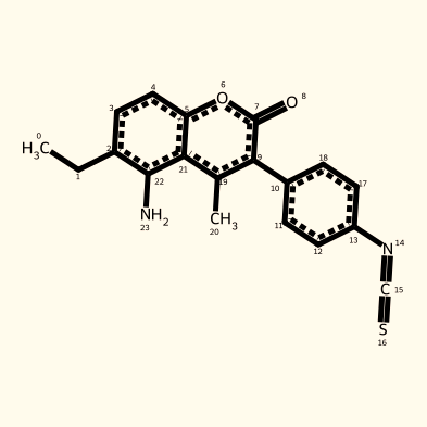 CCc1ccc2oc(=O)c(-c3ccc(N=C=S)cc3)c(C)c2c1N